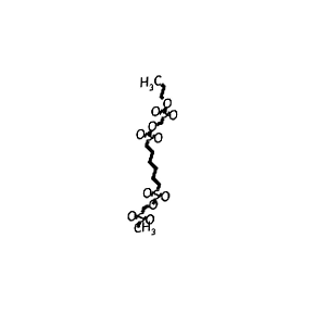 CCCOS(=O)(=O)COS(=O)(=O)CCCCCCS(=O)(=O)OCS(C)(=O)=O